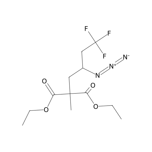 CCOC(=O)C(C)(CC(CC(F)(F)F)N=[N+]=[N-])C(=O)OCC